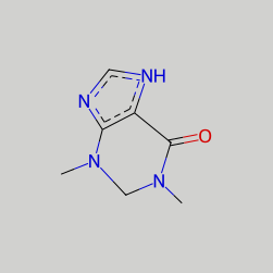 CN1CN(C)c2nc[nH]c2C1=O